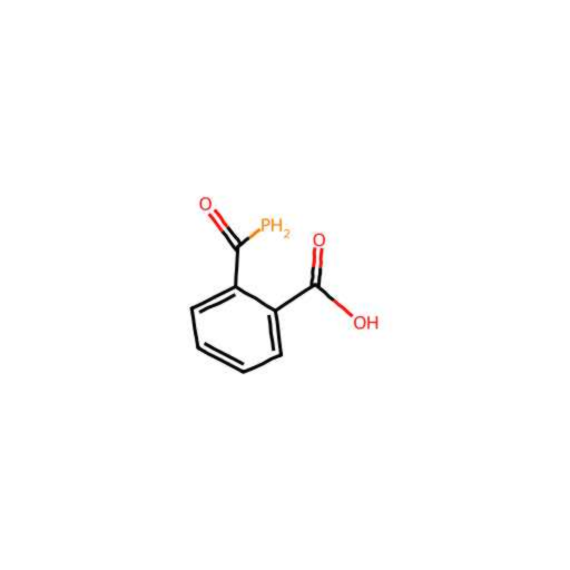 O=C(O)c1ccccc1C(=O)P